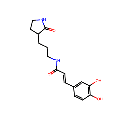 O=C(C=Cc1ccc(O)c(O)c1)NCCCC1CCNC1=O